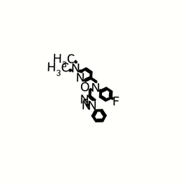 CCN(CC)c1ccc(CN(C(=O)c2cn(-c3ccccc3)nn2)c2ccc(F)cc2)cn1